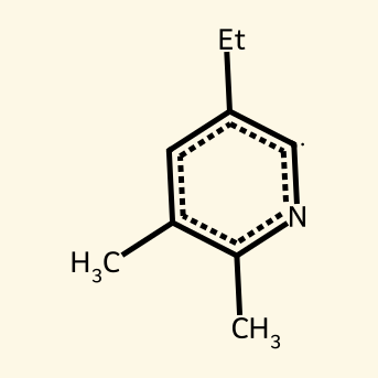 CCc1[c]nc(C)c(C)c1